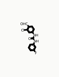 O=Cc1ccc(NC(=O)Nc2cccc(F)c2)cc1Cl